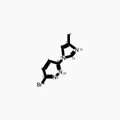 Cc1cn(-c2ccc(Br)nn2)cn1